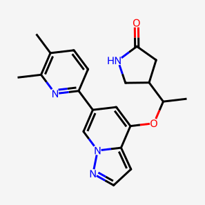 Cc1ccc(-c2cc(OC(C)C3CNC(=O)C3)c3ccnn3c2)nc1C